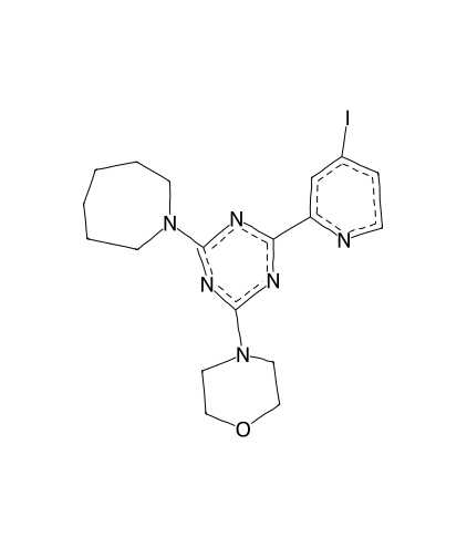 Ic1ccnc(-c2nc(N3CCCCCC3)nc(N3CCOCC3)n2)c1